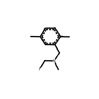 Cc1ccc(C)c(CN(C)CI)c1